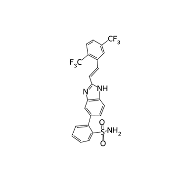 NS(=O)(=O)c1ccccc1-c1ccc2[nH]c(C=Cc3cc(C(F)(F)F)ccc3C(F)(F)F)nc2c1